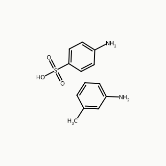 Cc1cccc(N)c1.Nc1ccc(S(=O)(=O)O)cc1